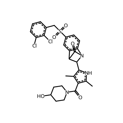 Cc1[nH]c(C2C3C(=O)N2c2ccc(S(=O)(=O)Cc4cccc(Cl)c4Cl)cc23)c(C)c1C(=O)N1CCC(O)CC1